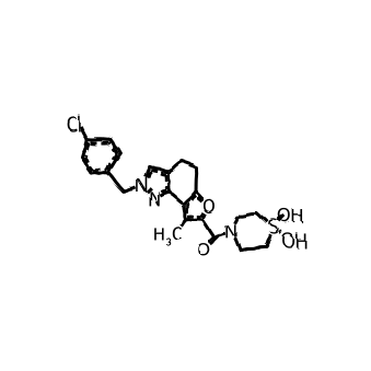 Cc1c(C(=O)N2CCS(O)(O)CC2)oc2c1-c1nn(Cc3ccc(Cl)cc3)cc1CC2